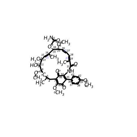 COC1=C2C[C@@H](C)C[C@H](OC)[C@H](O)[C@@H](C)/C=C(\C)[C@H](OC(N)=O)[C@H](OC)/C=C\C=C(/C)C(=O)NC(=C(c3ccc(OC)cc3)C1=O)C2=O